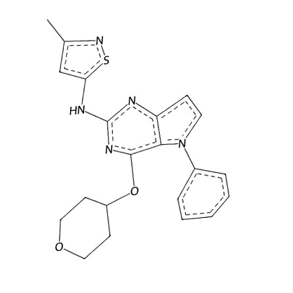 Cc1cc(Nc2nc(OC3CCOCC3)c3c(ccn3-c3ccccc3)n2)sn1